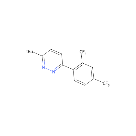 CC(C)(C)c1ccc(-c2ccc(C(F)(F)F)cc2C(F)(F)F)nn1